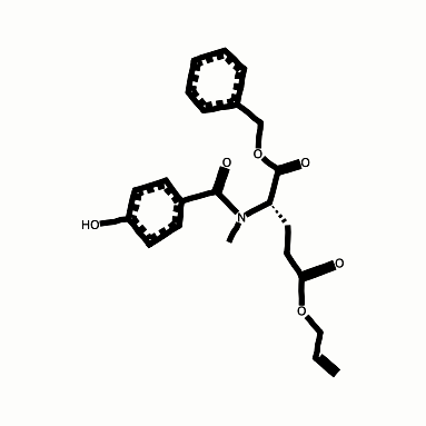 C=CCOC(=O)CC[C@@H](C(=O)OCc1ccccc1)N(C)C(=O)c1ccc(O)cc1